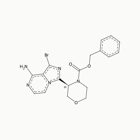 Nc1nccn2c([C@@H]3COCCN3C(=O)OCc3ccccc3)nc(Br)c12